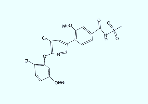 COc1ccc(Cl)c(Oc2ncc(-c3ccc(C(=O)NS(C)(=O)=O)cc3OC)cc2Cl)c1